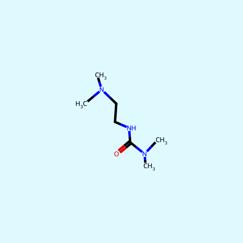 CN(C)CCNC(=O)N(C)C